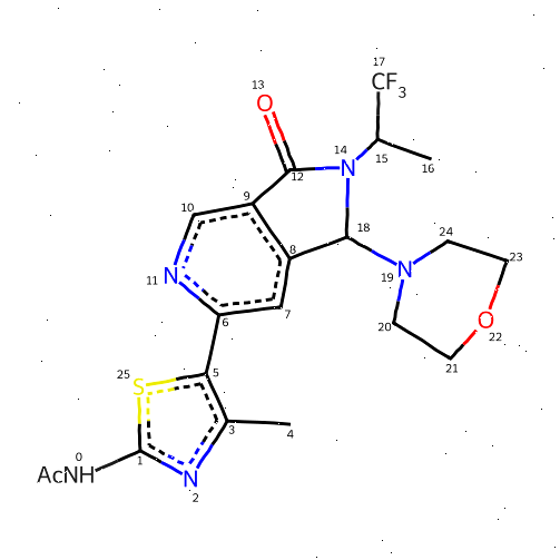 CC(=O)Nc1nc(C)c(-c2cc3c(cn2)C(=O)N(C(C)C(F)(F)F)C3N2CCOCC2)s1